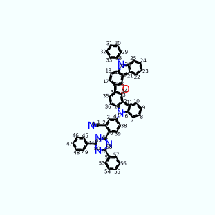 N#Cc1cc(-n2c3ccccc3c3c4oc5c(ccc6c5c5ccccc5n6-c5ccccc5)c4ccc32)ccc1-c1nc(-c2ccccc2)nc(-c2ccccc2)n1